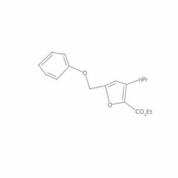 CCCc1cc(COc2ccccc2)oc1C(=O)OCC